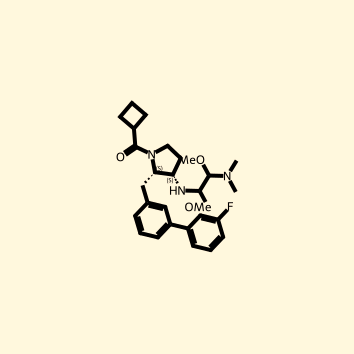 COC(N[C@H]1CCN(C(=O)C2CCC2)[C@H]1Cc1cccc(-c2cccc(F)c2)c1)C(OC)N(C)C